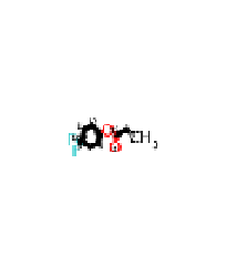 CCC(=O)OC1CCC(F)(F)CC1